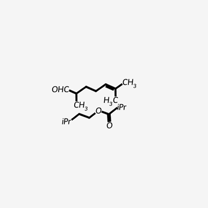 CC(C)=CCCC(C)C=O.CC(C)CCOC(=O)C(C)C